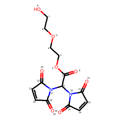 O=C(OCCOCCO)C(N1C(=O)C=CC1=O)N1C(=O)C=CC1=O